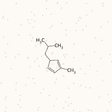 CC1=CC(CC(C)C)[C]=C1